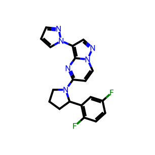 Fc1ccc(F)c(C2CCCN2c2ccn3ncc(-n4cccn4)c3n2)c1